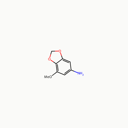 COc1cc(N)cc2c1OCO2